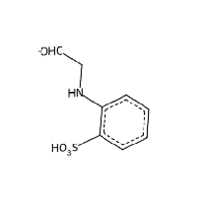 O=[C]CNc1ccccc1S(=O)(=O)O